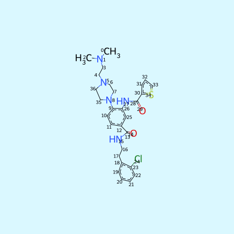 CN(C)CCN1CCN(c2ccc(C(=O)NCCc3ccccc3Cl)cc2NC(=O)c2cccs2)CC1